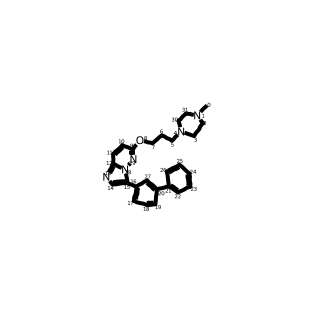 CN1CCN(CCCOc2ccc3ncc(-c4cccc(-c5ccccc5)c4)n3n2)CC1